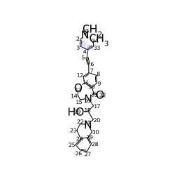 C=N/C=C\C(C#Cc1ccc2c(c1)OCCN(CC(O)CN1CCc3ccccc3C1)C2=O)=C/C